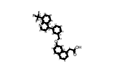 O=C(O)Cc1cccc2ccc(OCc3cccc(-c4ccnc5c(C(F)(F)F)cccc45)c3)cc12